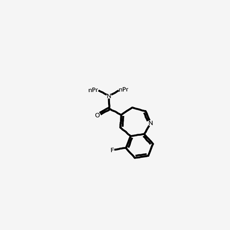 CCCN(CCC)C(=O)C1=Cc2c(F)cccc2N=CC1